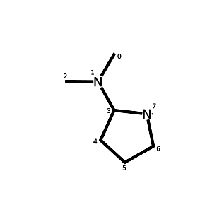 CN(C)C1CCC[N]1